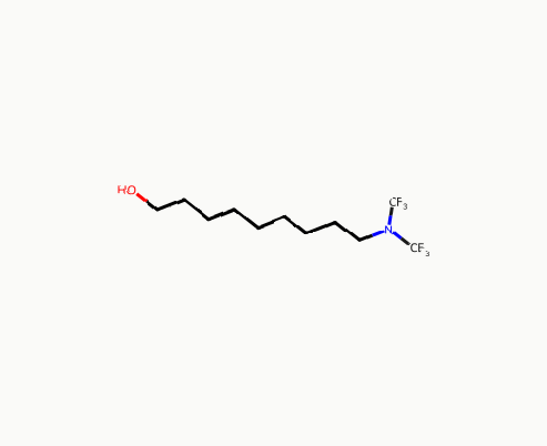 OCCCCCCCCCN(C(F)(F)F)C(F)(F)F